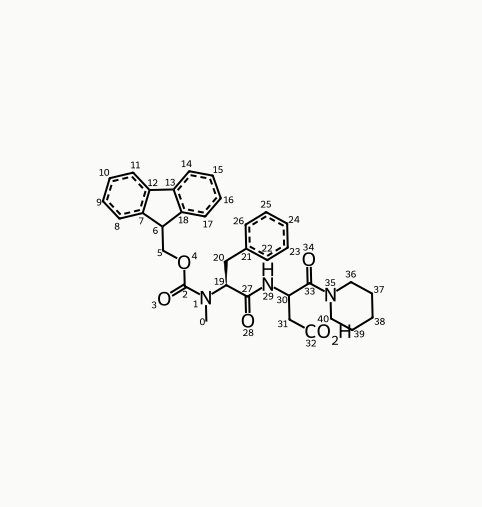 CN(C(=O)OCC1c2ccccc2-c2ccccc21)[C@@H](Cc1ccccc1)C(=O)NC(CC(=O)O)C(=O)N1CCCCC1